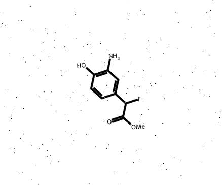 COC(=O)C(F)c1ccc(O)c(N)c1